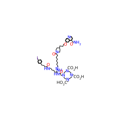 NC(=O)c1ccnc2ccc(OCCCC3CCN(C(=O)CCCCCC/C=N/N[C@H](CCCCNC(=O)CCCc4ccc(I)cc4)NC(=O)CN4CCN(CC(=O)O)CCN(CC(=O)O)CCN(CC(=O)O)CC4)CC3)cc12